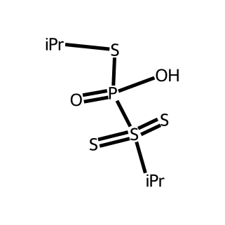 CC(C)SP(=O)(O)S(=S)(=S)C(C)C